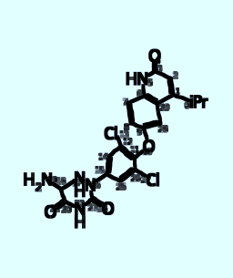 CC(C)c1cc(=O)[nH]c2ccc(Oc3c(Cl)cc(N4NC(N)C(=O)NC4=O)cc3Cl)cc12